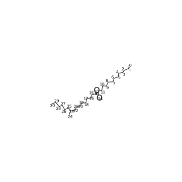 CCCCCCCCCCCCOC(=O)CCCCCCCCC(C)CCCCCC